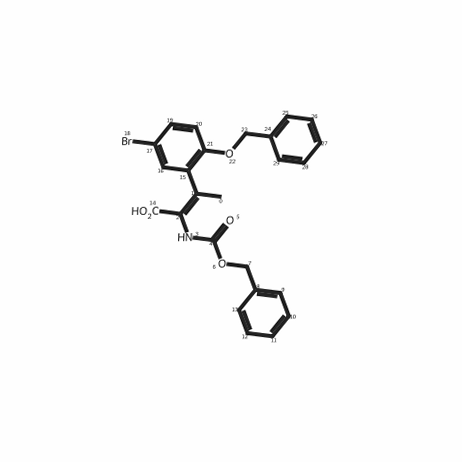 CC(=C(NC(=O)OCc1ccccc1)C(=O)O)c1cc(Br)ccc1OCc1ccccc1